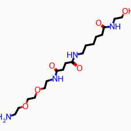 NCCOCCOCCNC(=O)CCC(=O)NCCCCCC(=O)NCCO